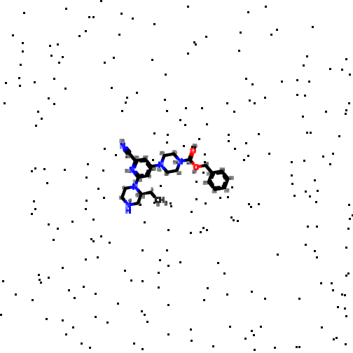 CC[C@H]1CNCCN1c1cc(N2CCN(C(=O)OCc3ccccc3)CC2)cc(C#N)n1